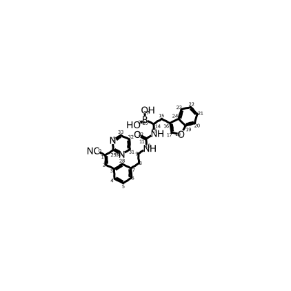 N#CC(=Cc1cccc(CCNC(=O)NC(Cc2coc3ccccc23)B(O)O)c1)c1ncccn1